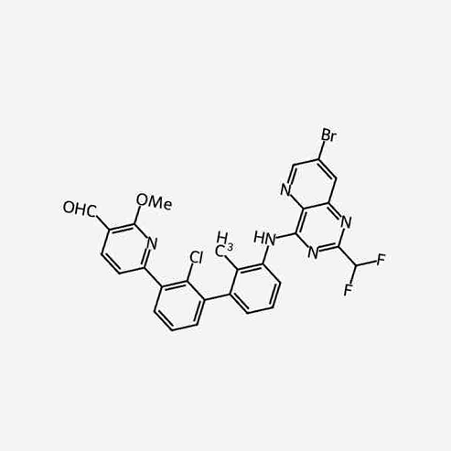 COc1nc(-c2cccc(-c3cccc(Nc4nc(C(F)F)nc5cc(Br)cnc45)c3C)c2Cl)ccc1C=O